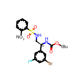 CC(C)(C)OC(=O)N[C@H](CNS(=O)(=O)c1ccccc1[N+](=O)[O-])c1cc(F)cc(Br)c1